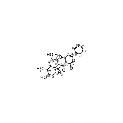 C[C@@H]1C2C[C@H](O)[C@@]3(C)Oc4cc(-c5cccnc5)oc(=O)c4[C@H](O)C3C2(C)CC[C@@H]1O